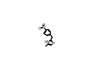 Cc1cnc(Cc2ccc([N+](=O)[O-])cc2)[nH]1